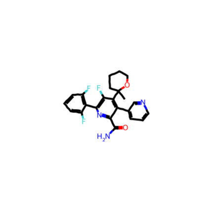 CC1(c2c(F)c(-c3c(F)cccc3F)nc(C(N)=O)c2-c2cccnc2)CCCCO1